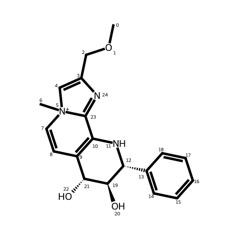 COCC1=C[N+]2(C)C=CC3=C(N[C@H](c4ccccc4)[C@@H](O)[C@@H]3O)C2=N1